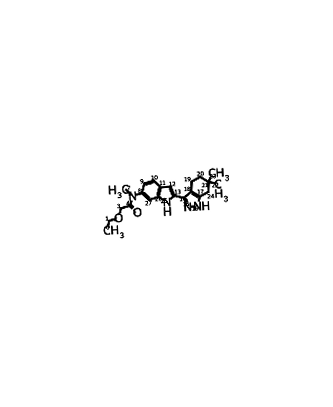 CCOCC(=O)N(C)c1ccc2cc(-c3n[nH]c4c3CCC(C)(C)C4)[nH]c2c1